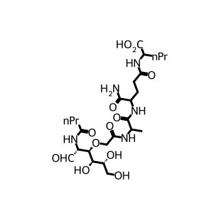 CCCC(=O)N[C@@H](C=O)[C@@H](OCC(=O)NC(C)C(=O)NC(CCC(=O)NC(CCC)C(=O)O)C(N)=O)[C@H](O)[C@H](O)CO